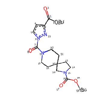 CC(C)COC(=O)c1ccn(C(=O)N2CCC3(CCN(C(=O)OC(C)(C)C)C3)CC2)n1